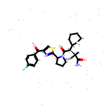 CNC(C)(C(N)=O)[C@@H](C(=O)N1CCCC1c1nc(C(=O)c2ccc(F)cc2)cs1)C1CCCCC1